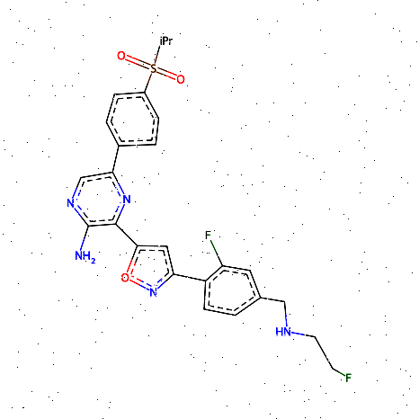 CC(C)S(=O)(=O)c1ccc(-c2cnc(N)c(-c3cc(-c4ccc(CNCCF)cc4F)no3)n2)cc1